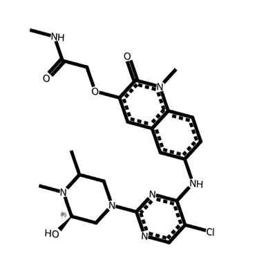 CNC(=O)COc1cc2cc(Nc3nc(N4CC(C)N(C)[C@H](O)C4)ncc3Cl)ccc2n(C)c1=O